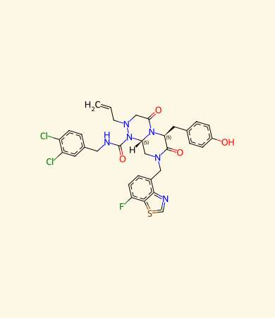 C=CCN1CC(=O)N2[C@@H](Cc3ccc(O)cc3)C(=O)N(Cc3ccc(F)c4scnc34)C[C@@H]2N1C(=O)NCc1ccc(Cl)c(Cl)c1